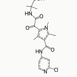 Cc1c(C(=O)Nc2ccnc(Cl)c2)c(C)n(C)c1C(=O)C(=O)NC(C)(C)CO